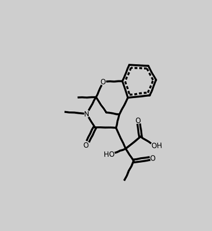 CC(=O)C(O)(C(=O)O)C1C(=O)N(C)C2(C)CC1c1ccccc1O2